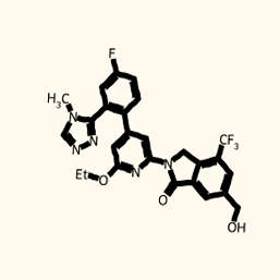 CCOc1cc(-c2ccc(F)cc2-c2nncn2C)cc(N2Cc3c(cc(CO)cc3C(F)(F)F)C2=O)n1